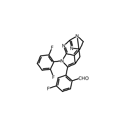 O=Cc1ccc(F)cc1-c1c2c3c4nc(nc3n1-c1c(F)cccc1F)N(C4)C2